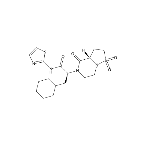 O=C(Nc1nccs1)[C@H](CC1CCCCC1)N1CCN2[C@@H](CCS2(=O)=O)C1=O